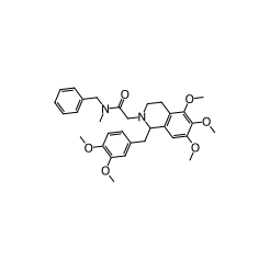 COc1ccc(CC2c3cc(OC)c(OC)c(OC)c3CCN2CC(=O)N(C)Cc2ccccc2)cc1OC